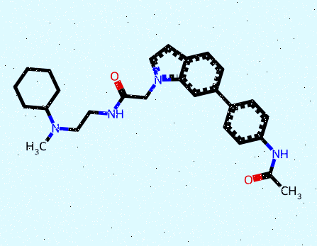 CC(=O)Nc1ccc(-c2ccc3ccn(CC(=O)NCCN(C)C4CCCCC4)c3c2)cc1